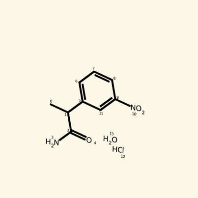 CC(C(N)=O)c1cccc([N+](=O)[O-])c1.Cl.O